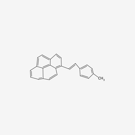 Cc1ccc(C=Cc2ccc3ccc4cccc5ccc2c3c45)cc1